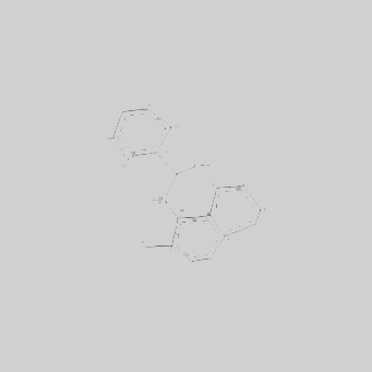 Cc1ccc2ccccc2c1NC(O)c1ccccn1